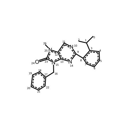 CC(C)c1ccccc1-c1ncc2c(n1)n(Cc1ccccc1)c(=O)n2C